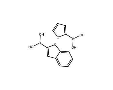 OB(O)c1cc2ccccc2s1.OB(O)c1ccco1